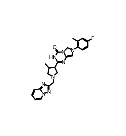 Cc1cc(F)ccc1N1C=C2N=C(C3CN(Cc4nc5ccccn5n4)CC3C)NC(=O)N2C1